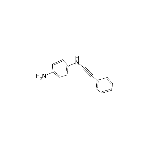 Nc1ccc(NC#Cc2ccccc2)cc1